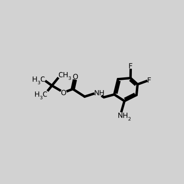 CC(C)(C)OC(=O)CNCc1cc(F)c(F)cc1N